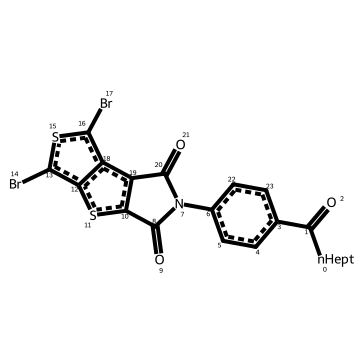 CCCCCCCC(=O)c1ccc(N2C(=O)c3sc4c(Br)sc(Br)c4c3C2=O)cc1